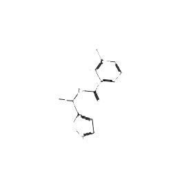 Cc1cccc(C(=O)NC(C)c2cccs2)c1